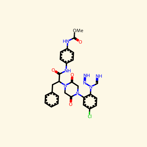 COC(=O)Nc1ccc(NC(=O)C(Cc2ccccc2)N2CC(=O)N(c3cc(Cl)ccc3N(C=N)N=N)CC2=O)cc1